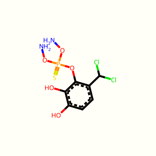 NOP(=S)(ON)Oc1c(C(Cl)Cl)ccc(O)c1O